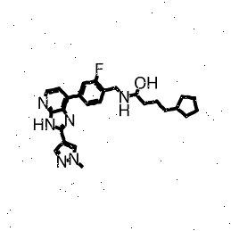 Cn1cc(-c2nc3c(-c4ccc(CNC(O)CCCC5CCCC5)c(F)c4)ccnc3[nH]2)cn1